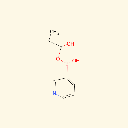 CCC(O)OB(O)c1cccnc1